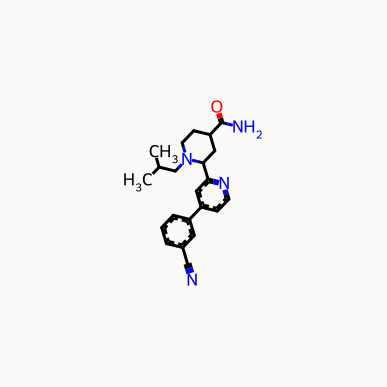 CC(C)CN1CCC(C(N)=O)CC1c1cc(-c2cccc(C#N)c2)ccn1